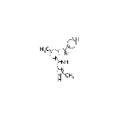 CC1=NC(CC(=N)N2CCN(C)CC(CC(=N)N3CCCNCC3)C2)CN1